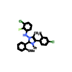 COc1ccccc1C1N(Nc2cccc(Cl)c2F)C(C(=O)O)=C(c2ccc(Cl)cc2C)N1C(C)C